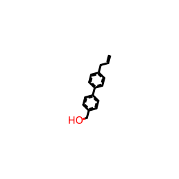 C=CCc1ccc(-c2ccc(CO)cc2)cc1